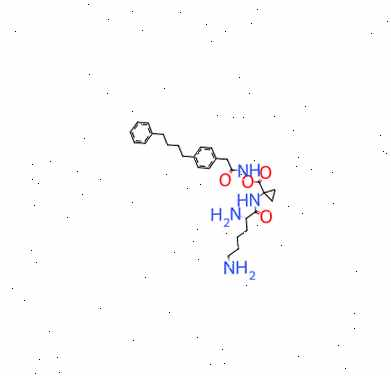 NCCCC[C@H](N)C(=O)NC1(C(=O)ONC(=O)Cc2ccc(CCCCc3ccccc3)cc2)CC1